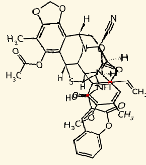 C=CCN1[C@@H]2c3c(cc(C)c(OC)c3O)C[C@@H]1[C@H](C#N)N1C2[C@@H]2SC[C@H](NC(=O)c3cc4ccccc4oc3=O)C(=O)OC[C@H]1c1c3c(c(C)c(OC(C)=O)c12)OCO3